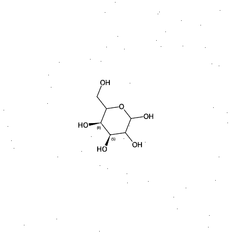 OCC1OC(O)C(O)[C@@H](O)[C@H]1O